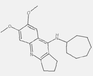 COc1cc2nc3c(c(NC4CCCCCC4)c2cc1OC)CCC3